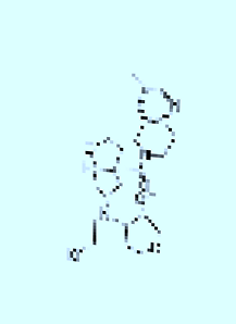 CO[C@@H]1COCC[C@@H]1N(CCO)[C@@H]1C[C@H]2OCC[C@@]2(C(=O)N2CCc3ncc(C)cc3C2)C1